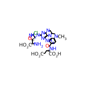 CN(Cc1cnc2nc(N)nc(N)c2n1)c1ccc(C(=O)N[C@@H](CCC(=O)O)C(=O)O)cc1.N[C@H](C(=O)O)[C@@H]1CC(Cl)=NO1